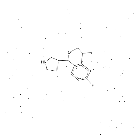 CC1CO[C@@H]([C@@H]2CCNC2)c2ccc(F)cc21